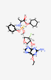 CCOc1nc(N)nc2c1ncn2[C@@H]1O[C@H](COP(=S)(NC(C)C(=O)OC2CCCCC2)Oc2ccccc2)[C@@H](F)[C@@]1(C)O